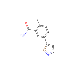 Cc1ccc(-c2ccns2)cc1C(N)=O